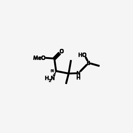 COC(=O)[C@@H](N)C(C)(C)NB(C)O